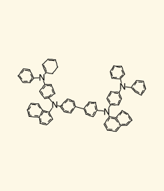 C1=CCCC(N(c2ccccc2)c2ccc(N(c3ccc(-c4ccc(N(c5ccc(N(c6ccccc6)c6ccccc6)cc5)c5cccc6ccccc56)cc4)cc3)c3cccc4ccccc34)cc2)=C1